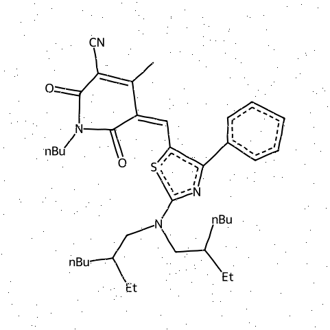 CCCCC(CC)CN(CC(CC)CCCC)c1nc(-c2ccccc2)c(/C=C2\C(=O)N(CCCC)C(=O)C(C#N)=C2C)s1